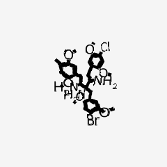 COc1cc(CC(N)C(N)(Cc2cc(OC)c(Br)cc2OC)C(N)Cc2cc(OC)c(Cl)cc2OC)c(OC)cc1C